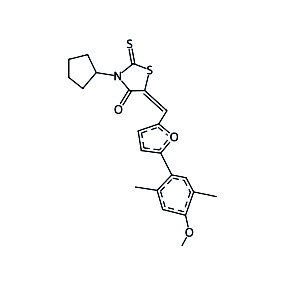 COc1cc(C)c(-c2ccc(/C=C3/SC(=S)N(C4CCCC4)C3=O)o2)cc1C